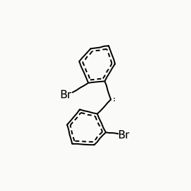 Brc1ccccc1[C]c1ccccc1Br